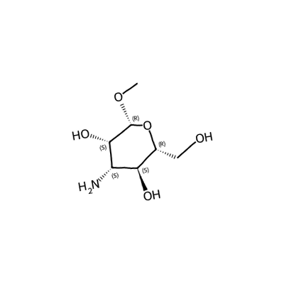 CO[C@@H]1O[C@H](CO)[C@@H](O)[C@H](N)[C@@H]1O